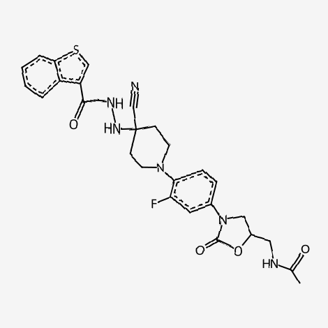 CC(=O)NCC1CN(c2ccc(N3CCC(C#N)(NNC(=O)c4csc5ccccc45)CC3)c(F)c2)C(=O)O1